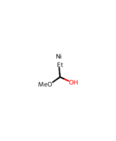 CCC(O)OC.[Ni]